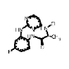 C[C@H](NCl)C(=O)Nc1ccc(F)cc1Nc1ncccn1